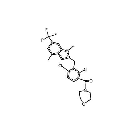 Cc1cc(C(F)(F)F)cc2c1cc(Cc1c(Cl)ccc(C(=O)N3CCOCC3)c1Cl)n2C